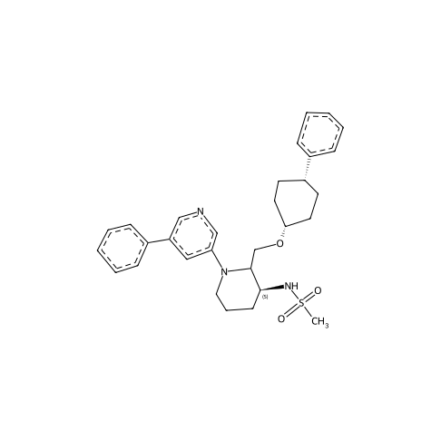 CS(=O)(=O)N[C@H]1CCCN(c2cncc(-c3ccccc3)c2)C1CO[C@H]1CC[C@@H](c2ccccc2)CC1